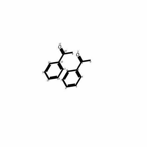 CC(=O)c1ccccc1.CC(=O)c1ccccc1